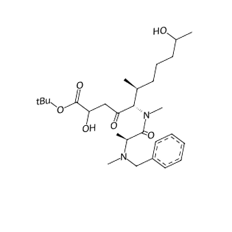 CC(O)CCC[C@H](C)[C@@H](C(=O)CC(O)C(=O)OC(C)(C)C)N(C)C(=O)[C@H](C)N(C)Cc1ccccc1